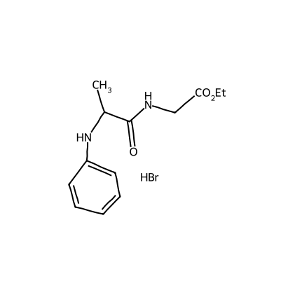 Br.CCOC(=O)CNC(=O)C(C)Nc1ccccc1